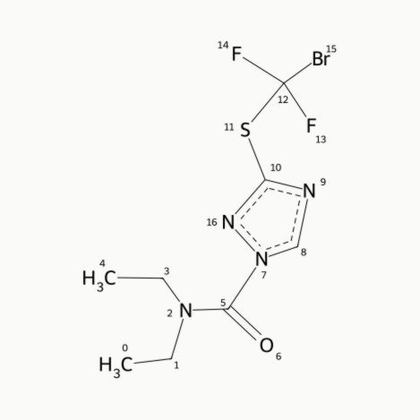 CCN(CC)C(=O)n1cnc(SC(F)(F)Br)n1